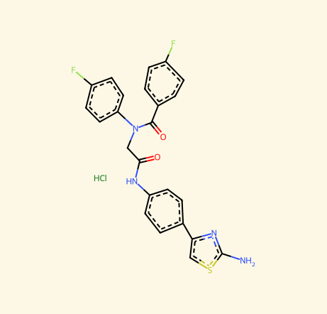 Cl.Nc1nc(-c2ccc(NC(=O)CN(C(=O)c3ccc(F)cc3)c3ccc(F)cc3)cc2)cs1